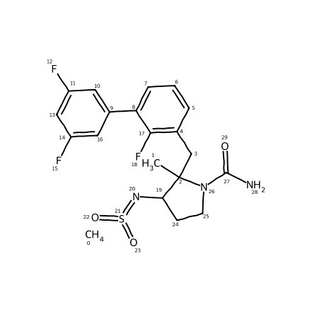 C.CC1(Cc2cccc(-c3cc(F)cc(F)c3)c2F)C(N=S(=O)=O)CCN1C(N)=O